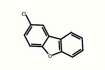 Clc1ccc2oc3ccc[c]c3c2c1